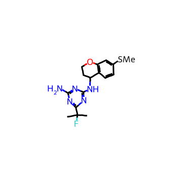 CSc1ccc2c(c1)OCCC2Nc1nc(N)nc(C(C)(C)F)n1